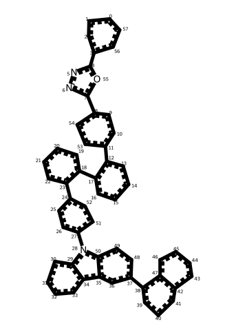 c1ccc(-c2nnc(-c3ccc(-c4ccccc4-c4ccccc4-c4ccc(-n5c6ccccc6c6cc(-c7cccc8ccccc78)ccc65)cc4)cc3)o2)cc1